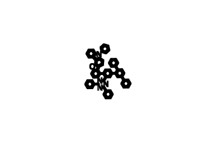 c1ccc(-c2ccc(-c3ccccc3)c(-c3ccc(-c4cccc5oc6c(ccc7c6c6ccccc6n7-c6ccccc6)c45)c(-c4nc(-c5ccccc5)nc(-c5ccccc5)n4)c3)c2)cc1